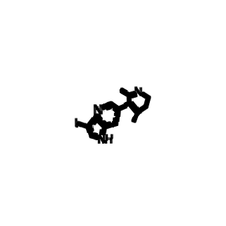 CC1=NCCC(C)=C1c1cnc2c(I)c[nH]c2c1